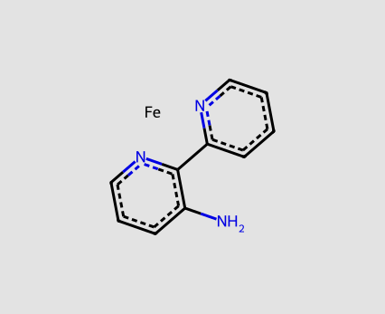 Nc1cccnc1-c1ccccn1.[Fe]